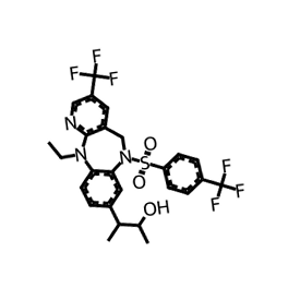 CCN1c2ccc(C(C)C(C)O)cc2N(S(=O)(=O)c2ccc(C(F)(F)F)cc2)Cc2cc(C(F)(F)F)cnc21